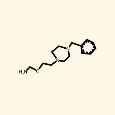 NCOCCN1CCN(Cc2ccccc2)CC1